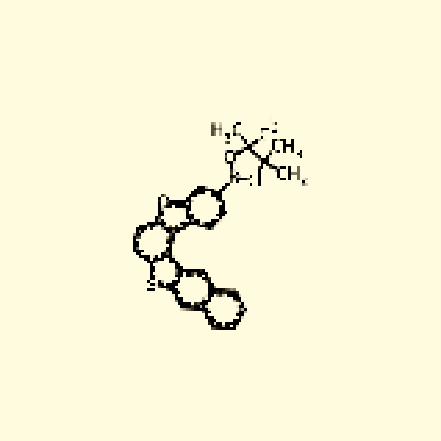 CC1(C)OB(c2ccc3c(c2)oc2ccc4sc5cc6ccccc6cc5c4c23)OC1(C)C